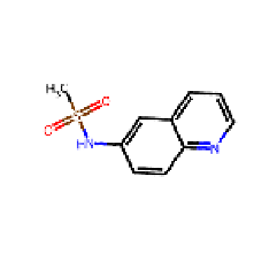 CS(=O)(=O)Nc1ccc2n[c]ccc2c1